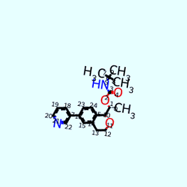 C[C@@H](OC(=O)NC(C)(C)C)[C@@H]1OCCc2cc(-c3cccnc3)ccc21